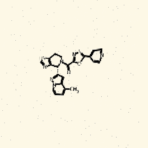 Cc1cccn2nc([C@@H]3c4nc[nH]c4CCN3C(=O)c3nnc(-c4ccncc4)o3)cc12